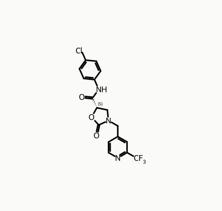 O=C(Nc1ccc(Cl)cc1)[C@@H]1CN(Cc2ccnc(C(F)(F)F)c2)C(=O)O1